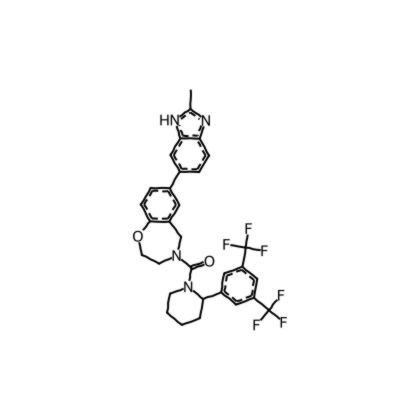 Cc1nc2ccc(-c3ccc4c(c3)CN(C(=O)N3CCCCC3c3cc(C(F)(F)F)cc(C(F)(F)F)c3)CCO4)cc2[nH]1